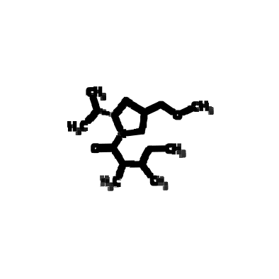 CCC(C)C(C)C(=O)N1CC(COC)C[C@H]1C(C)C